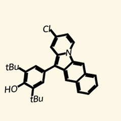 CC(C)(C)c1cc(-c2c3cc4ccccc4cc3n3ccc(Cl)cc23)cc(C(C)(C)C)c1O